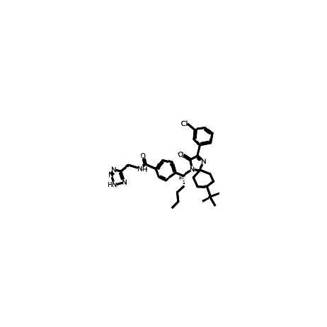 CCCC[C@H](c1ccc(C(=O)NCc2nn[nH]n2)cc1)N1C(=O)C(c2cccc(Cl)c2)=NC12CCC(C(C)(C)C)CC2